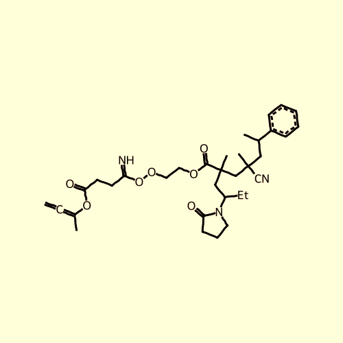 C=C=C(C)OC(=O)CCC(=N)OOCCOC(=O)C(C)(CC(CC)N1CCCC1=O)CC(C)(C#N)CC(C)c1ccccc1